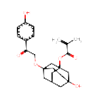 C=C(C)C(=O)OC12CC3CC(O)(CC(OCC(=O)c4ccc(O)cc4)(C3)C1)C2